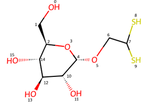 OC[C@H]1O[C@H](OCC(S)S)[C@H](O)[C@@H](O)[C@@H]1O